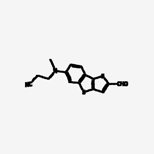 CN(CCC#N)c1ccc2c(c1)sc1cc(C=O)sc12